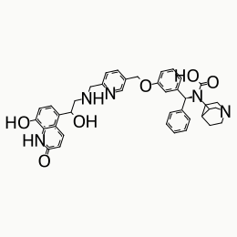 O=C(O)N(C1CN2CCC1CC2)[C@@H](c1ccccc1)c1cccc(OCc2ccc(CNCC(O)c3ccc(O)c4[nH]c(=O)ccc34)nc2)c1